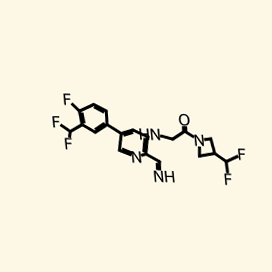 N=Cc1ncc(-c2ccc(F)c(C(F)F)c2)cc1NCC(=O)N1CC(C(F)F)C1